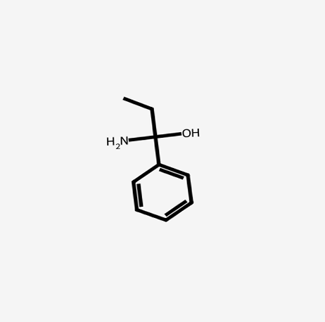 CCC(N)(O)c1ccccc1